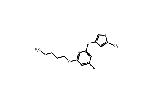 Cc1cc(OCCCSC(F)(F)F)nc(Oc2csc(C(F)(F)F)c2)c1